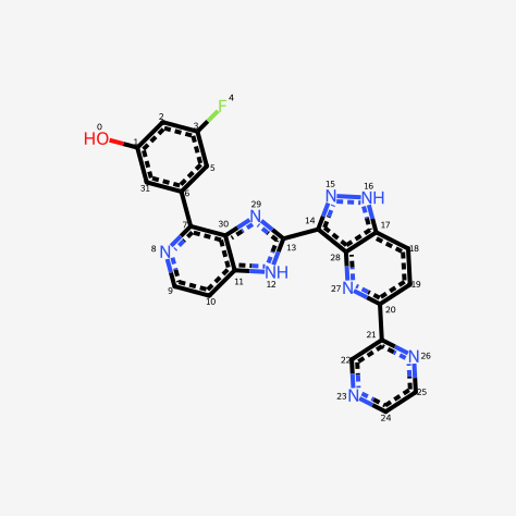 Oc1cc(F)cc(-c2nccc3[nH]c(-c4n[nH]c5ccc(-c6cnccn6)nc45)nc23)c1